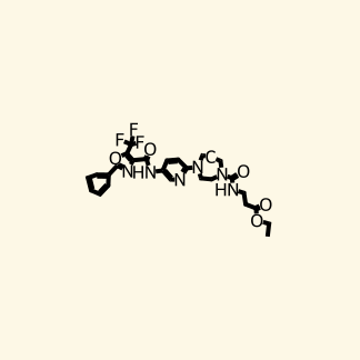 CCOC(=O)CCNC(=O)N1CCCN(c2ccc(NC(=O)c3nc(-c4ccccc4)oc3C(F)(F)F)cn2)CC1